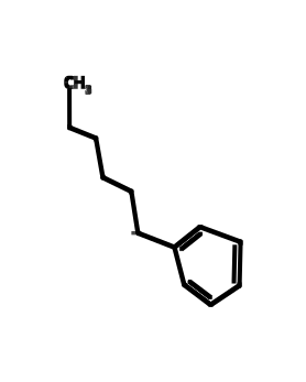 CCCCC[CH]c1ccccc1